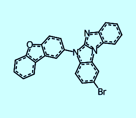 Brc1ccc2c(c1)n1c3ccccc3nc1n2-c1ccc2oc3ccccc3c2c1